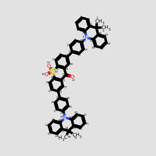 CC1(C)c2ccccc2N(c2ccc(-c3ccc4c(c3)C(=O)c3cc(-c5ccc(N6c7ccccc7C(C)(C)c7ccccc76)cc5)ccc3S4(=O)=O)cc2)c2ccccc21